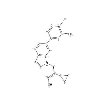 Cc1cc(-c2cnc3ccn(CC(=NO)C4CC4)c3c2)ccc1F